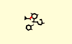 Cc1ccccc1C[C@@](NC(=O)C1CC1)(c1cc(F)cc(C(F)(F)F)c1)c1ccc(Cl)cn1